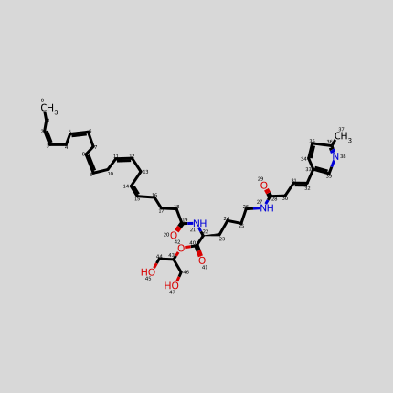 CC/C=C\C/C=C\C/C=C\C/C=C\C/C=C\CCCC(=O)N[C@@H](CCCCNC(=O)C/C=C/c1ccc(C)nc1)C(=O)OC(CO)CO